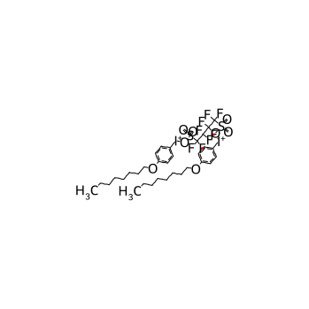 CCCCCCCCOc1ccc([I+]OS(=O)(=O)C(F)(F)C(F)(F)C(F)(F)C(F)(F)S(=O)(=O)O[I+]c2ccc(OCCCCCCCC)cc2)cc1